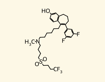 CN(CCCCCCC1=C(c2cc(F)cc(F)c2)CCCc2cc(O)ccc21)CCCCS(=O)(=O)CCCC(F)(F)F